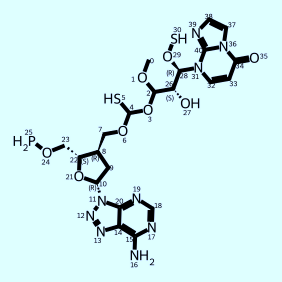 COC(OC(S)OC[C@H]1C[C@H](n2nnc3c(N)ncnc32)O[C@@H]1COP)[C@@H](O)[C@@H](OS)n1ccc(=O)n2ccnc12